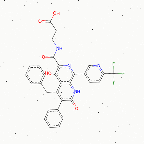 O=C(O)CCNC(=O)c1nc(-c2ccc(C(F)(F)F)nc2)c2[nH]c(=O)c(-c3ccccc3)c(Cc3ccccc3)c2c1O